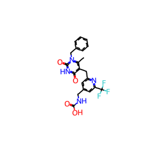 Cc1c(Cc2cc(CNC(=O)O)cc(C(F)(F)F)n2)c(=O)[nH]c(=O)n1Cc1ccccc1